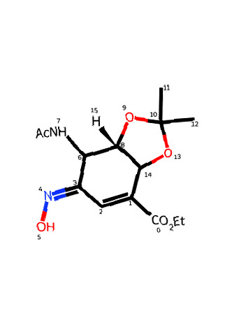 CCOC(=O)C1=CC(=NO)C(NC(C)=O)[C@@H]2OC(C)(C)OC12